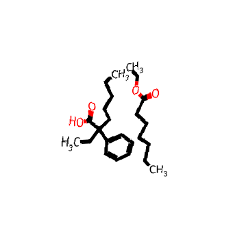 CCCCCC(CC)(C(=O)O)c1ccccc1.CCCCCCC(=O)OCC